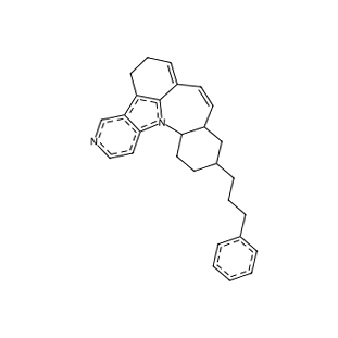 C1=CC2CC(CCCc3ccccc3)CCC2n2c3c(c4cnccc42)CCC=C13